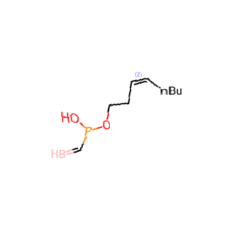 B=CP(O)OCC/C=C\CCCC